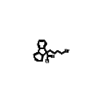 O=C(Cl)C1(CCCCBr)c2ccccc2-c2ccccc21